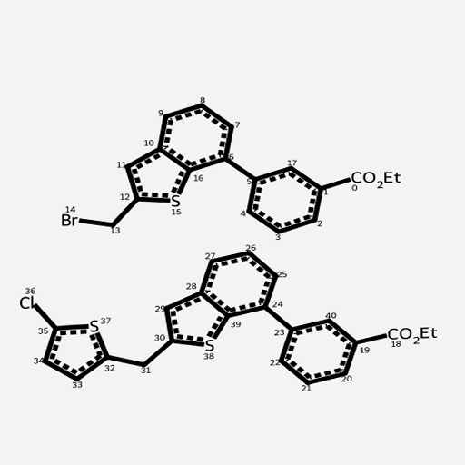 CCOC(=O)c1cccc(-c2cccc3cc(CBr)sc23)c1.CCOC(=O)c1cccc(-c2cccc3cc(Cc4ccc(Cl)s4)sc23)c1